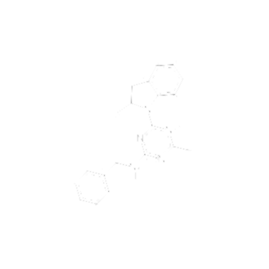 CCc1nc(NCc2ccccc2)nc(N2c3ccccc3CC2C)n1